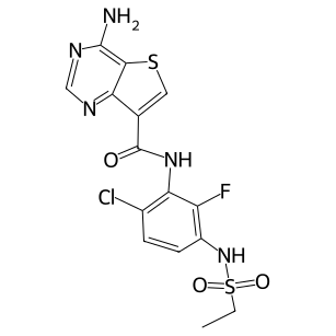 CCS(=O)(=O)Nc1ccc(Cl)c(NC(=O)c2csc3c(N)ncnc23)c1F